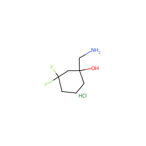 Cl.NCC1(O)CCCC(F)(F)C1